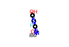 CCC(C)n1ncn(-c2ccc(N3CCN(c4ccc(O)cc4)CC3)c(F)c2)c1=O